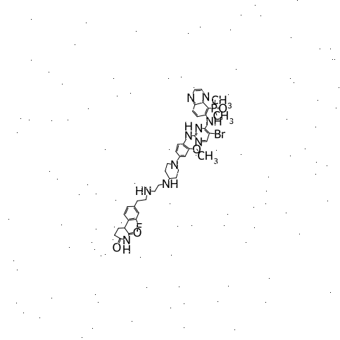 COc1cc(N2CCC(NCCNCCc3ccc(C4CCC(=O)NC4=O)c(F)c3)CC2)ccc1Nc1ncc(Br)c(Nc2ccc3nccnc3c2P(C)(C)=O)n1